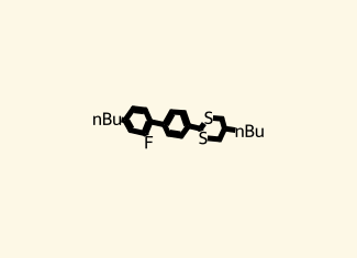 CCCCc1ccc(-c2ccc(C3SCC(CCCC)CS3)cc2)c(F)c1